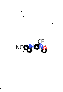 N#Cc1ccc2c(c1)CCCC2Nc1ccc2c(c1)c(C(F)(F)F)nn2C1CCCCO1